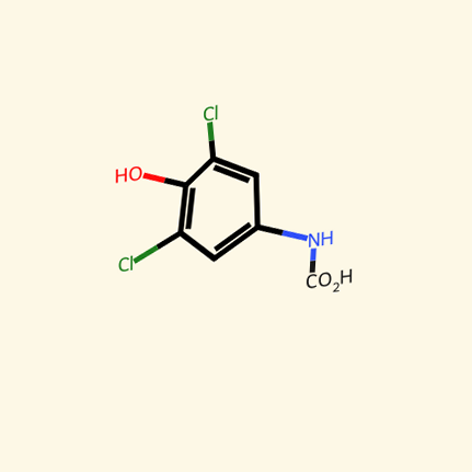 O=C(O)Nc1cc(Cl)c(O)c(Cl)c1